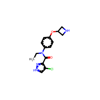 CCN(C(=O)c1n[nH]cc1Cl)c1ccc(OC2CNC2)cc1